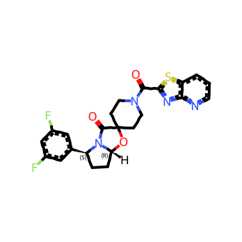 O=C(c1nc2ncccc2s1)N1CCC2(CC1)O[C@@H]1CC[C@@H](c3cc(F)cc(F)c3)N1C2=O